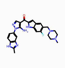 Cc1nc2cc(-n3ncc(C(=O)c4cc5cc(CN6CCN(C)CC6)c(F)cc5[nH]4)c3N)ccc2[nH]1